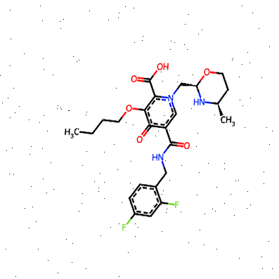 CCCCOc1c(C(=O)O)n(C[C@@H]2N[C@H](C)CCO2)cc(C(=O)NCc2ccc(F)cc2F)c1=O